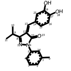 Cc1cccc(N2N=C(C(C)C)C(=Cc3ccc(O)c(O)c3)C2=O)c1